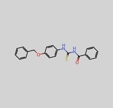 O=C(NC(=S)Nc1ccc(OCc2ccccc2)cc1)c1ccccc1